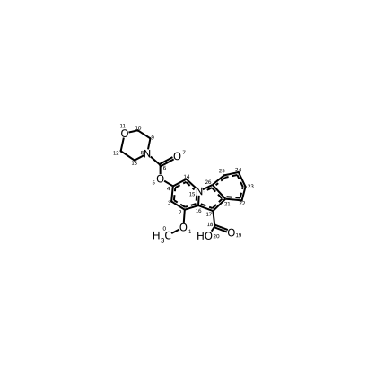 COc1cc(OC(=O)N2CCOCC2)cn2c1c(C(=O)O)c1ccccc12